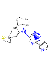 c1cncc(-c2ncc(-n3c4ccccc4c4cc5sccc5cc43)cn2)c1